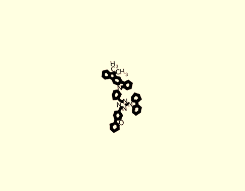 CC1(C)c2ccccc2-c2cc3c(cc21)c1ccccc1n3-c1cccc(-c2nc(-c3ccc4c(c3)oc3ccccc34)nc(-n3c4ccccc4c4ccccc43)n2)c1